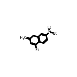 C=C1C=C(CC)c2ccc(N(CC)CC)cc2C1